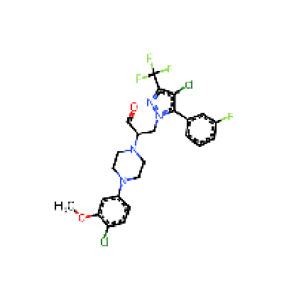 COc1cc(N2CCN(C(C=O)Cn3nc(C(F)(F)F)c(Cl)c3-c3cccc(F)c3)CC2)ccc1Cl